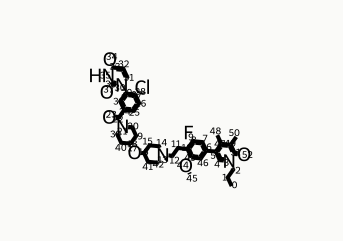 CCCn1cc(-c2cc(F)c(CCN3CCC(OC4CCN(C(=O)c5ccc(Cl)c(-n6ccc(=O)[nH]c6=O)c5)CC4)CC3)c(OC)c2)c(C)c(C)c1=O